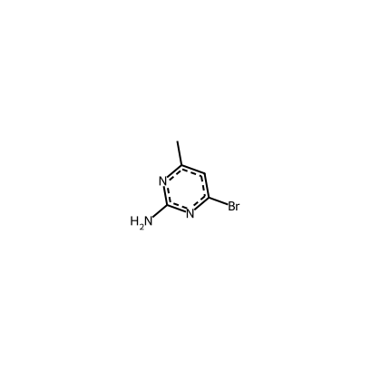 Cc1cc(Br)nc(N)n1